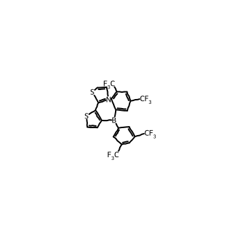 FC(F)(F)c1cc(B(c2cc(C(F)(F)F)cc(C(F)(F)F)c2)c2ccsc2-c2nccs2)cc(C(F)(F)F)c1